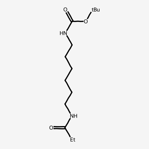 CCC(=O)NCCCCCCNC(=O)OC(C)(C)C